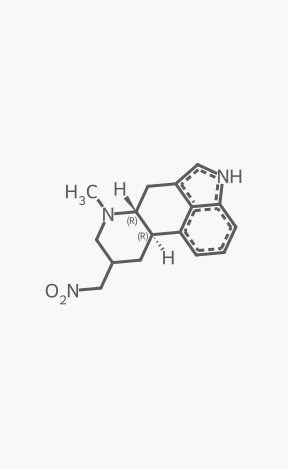 CN1CC(C[N+](=O)[O-])C[C@@H]2c3cccc4[nH]cc(c34)C[C@H]21